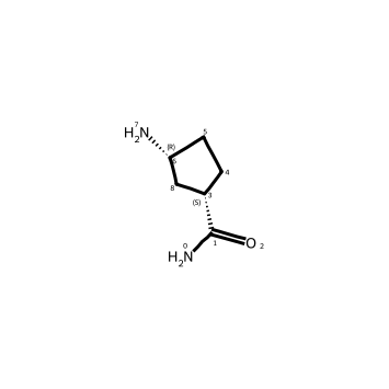 NC(=O)[C@H]1CC[C@@H](N)C1